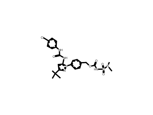 CN(C)S(=O)(=O)NC(=O)OCc1ccc(-n2nc(C(C)(C)C)cc2NC(=O)Nc2ccc(Cl)cc2)cc1